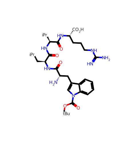 CC(C)C[C@H](NC(=O)[C@@H](N)Cc1cn(C(=O)OC(C)(C)C)c2ccccc12)C(=O)N[C@H](C(=O)N[C@@H](CCCNC(=N)N)C(=O)O)C(C)C